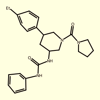 CCc1ccc(C2CC(NC(=O)Nc3ccccc3)CN(C(=O)N3CCCC3)C2)cc1